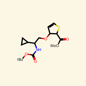 COC(=O)C1SC=CC1OCC(NC(=O)OC(C)(C)C)C1CC1